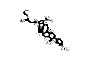 C=C(CC(=O)N[C@]12CC[C@@H](C(=C)C)C1[C@H]1CCC3[C@@]4(C)CC=C(c5ccc(C(=O)O)cc5)C(C)(C)C4CC[C@@]3(C)[C@]1(C)CC2)/N=C\C=C/N